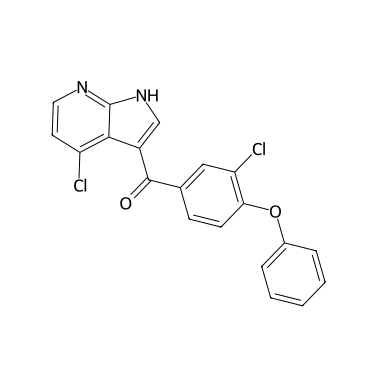 O=C(c1ccc(Oc2ccccc2)c(Cl)c1)c1c[nH]c2nccc(Cl)c12